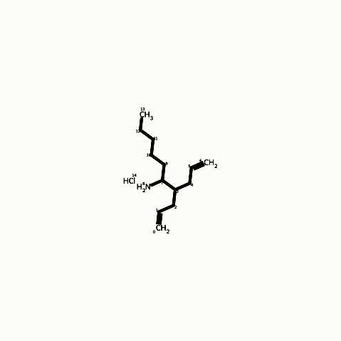 C=CCC(CC=C)C(N)CCCCC.Cl